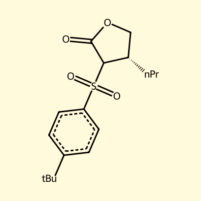 CCC[C@H]1COC(=O)C1S(=O)(=O)c1ccc(C(C)(C)C)cc1